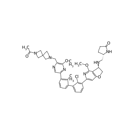 COc1nc(-c2cccc(-c3cccc(-c4cc5c(c(OC)n4)[C@@H](NC[C@@H]4CCC(=O)N4)CO5)c3Cl)c2C)cnc1CN1CC2(C1)CN(C(C)=O)C2